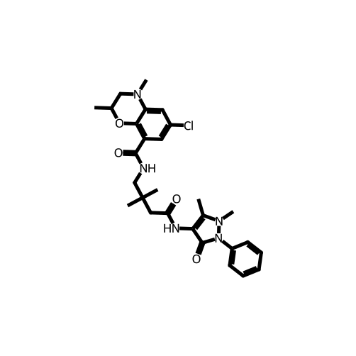 Cc1c(NC(=O)CC(C)(C)CNC(=O)c2cc(Cl)cc3c2OC(C)CN3C)c(=O)n(-c2ccccc2)n1C